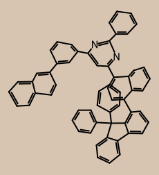 c1ccc(-c2nc(-c3cccc(-c4ccc5ccccc5c4)c3)cc(-c3ccc(-c4cccc5c4C(c4ccccc4)(c4ccccc4)c4ccccc4-5)c4ccccc34)n2)cc1